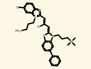 CCC(/C=C1\Oc2ccc(-c3ccccc3)cc2N1CCC[N+](C)(C)C)=C\c1oc2ccc(Cl)cc2[n+]1CCCS(=O)(=O)O